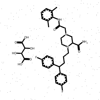 Cc1cccc(C)c1NC(=O)CN1CCN(CCCC(c2ccc(F)cc2)c2ccc(F)cc2)C(C(N)=O)C1.O=C(O)C(O)C(O)C(=O)O